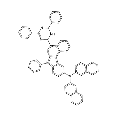 c1ccc(C2=NC(c3cc4c(c5ccccc35)c3cc(N(c5ccc6ccccc6c5)c5ccc6ccccc6c5)ccc3n4-c3ccccc3)NC(c3ccccc3)=N2)cc1